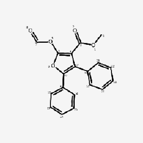 COC(=O)c1c(O[C]=O)oc(-c2ccccc2)c1-c1ccccc1